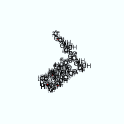 COc1cc(NC(=O)Nc2cccc(F)c2O)cc(OC)c1OC.COc1cccc(NC(=O)Nc2cccc(F)c2O)c1.Cc1cccc(C)c1NC(=O)Nc1cccc(F)c1O.O=C(Nc1ccc(Oc2ccccc2)cc1)Nc1cccc(F)c1O.O=C(Nc1cccc(F)c1O)NC12CC3CC(CC(C3)C1)C2.O=C(Nc1cccc(F)c1O)Nc1cccc2ccccc12